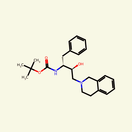 CC(C)(C)OC(=O)N[C@H](Cc1ccccc1)[C@@H](O)CN1CCc2ccccc2C1